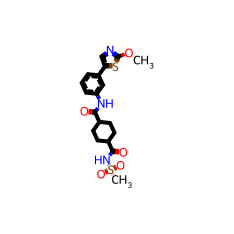 COc1ncc(-c2cccc(NC(=O)C3CCC(C(=O)NS(C)(=O)=O)CC3)c2)s1